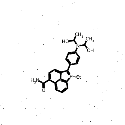 CC[PH]1=C(c2ccc(N(C(C)O)C(C)O)cc2)c2ccc(C(N)=O)c3cccc1c23